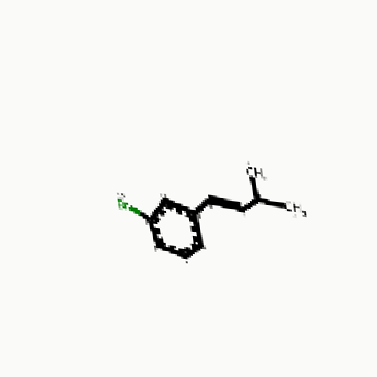 CC(C)C=Cc1cccc(Br)c1